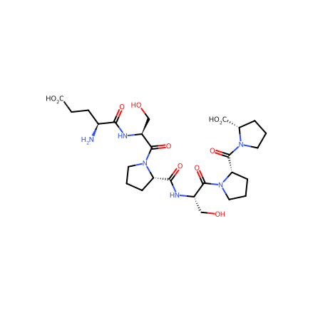 N[C@@H](CCC(=O)O)C(=O)N[C@@H](CO)C(=O)N1CCC[C@H]1C(=O)N[C@@H](CO)C(=O)N1CCC[C@H]1C(=O)N1CCC[C@H]1C(=O)O